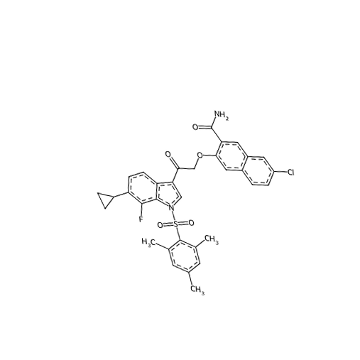 Cc1cc(C)c(S(=O)(=O)n2cc(C(=O)COc3cc4ccc(Cl)cc4cc3C(N)=O)c3ccc(C4CC4)c(F)c32)c(C)c1